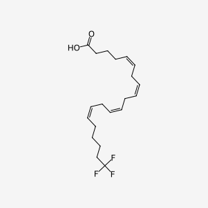 O=C(O)CCC/C=C\C/C=C\C/C=C\C/C=C\CCCCC(F)(F)F